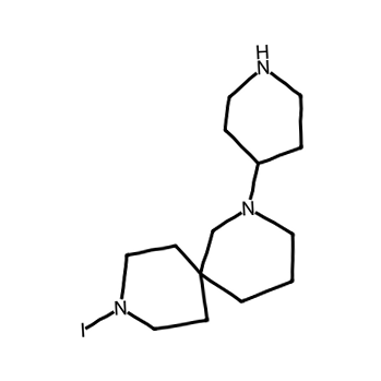 IN1CCC2(CCCN(C3CCNCC3)C2)CC1